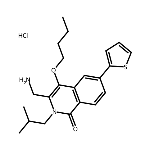 CCCCOc1c(CN)n(CC(C)C)c(=O)c2ccc(-c3cccs3)cc12.Cl